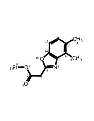 CCCOC(=O)Cc1nc2c(C)c(C)ccc2o1